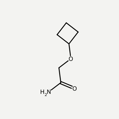 NC(=O)COC1CCC1